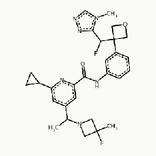 CC(c1cc(C(=O)Nc2cccc(C3(C(F)c4nncn4C)COC3)c2)nc(C2CC2)c1)N1CC(C)(F)C1